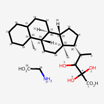 CC(C(O)C(O)(O)C(=O)O)[C@H]1CC[C@H]2[C@@H]3CCC4CCCC[C@]4(C)[C@H]3CC[C@]12C.NCC(=O)O